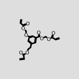 C=CC(=O)OCCc1cc(OCOC(=O)C=C)cc(C(=O)OCOC(=O)C=C)c1